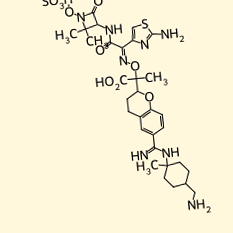 CC1(NC(=N)c2ccc3c(c2)CCC(C(C)(ON=C(C(=O)NC2C(=O)N(OS(=O)(=O)O)C2(C)C)c2csc(N)n2)C(=O)O)O3)CCC(CN)CC1